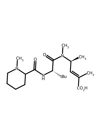 C/C(=C\[C@H](C)N(C)C(=O)[C@@H](NC(=O)C1CCCCN1C)C(C)(C)C)C(=O)O